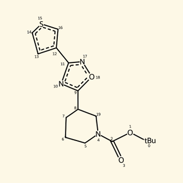 CC(C)(C)OC(=O)N1CCCC(c2nc(-c3ccsc3)no2)C1